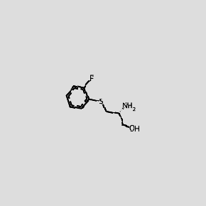 N[C@H](CO)CSc1ccccc1F